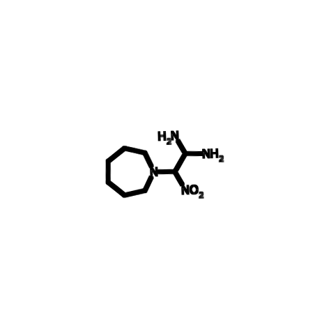 NC(N)C(N1CCCCCC1)[N+](=O)[O-]